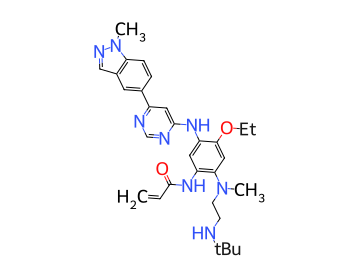 C=CC(=O)Nc1cc(Nc2cc(-c3ccc4c(cnn4C)c3)ncn2)c(OCC)cc1N(C)CCNC(C)(C)C